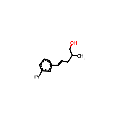 CC(C)c1cccc(/C=C/C[C@H](C)CO)c1